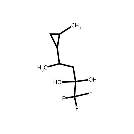 CC1CC1C(C)CC(O)(O)C(F)(F)F